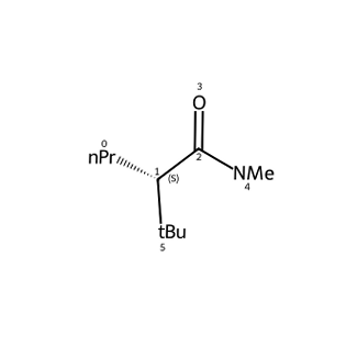 CCC[C@H](C(=O)NC)C(C)(C)C